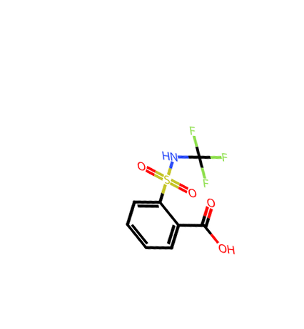 O=C(O)c1ccccc1S(=O)(=O)NC(F)(F)F